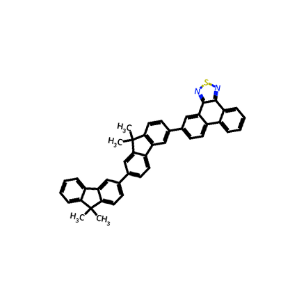 CC1(C)c2ccccc2-c2cc(-c3ccc4c(c3)C(C)(C)c3ccc(-c5ccc6c7ccccc7c7nsnc7c6c5)cc3-4)ccc21